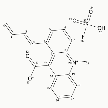 C=C/C=C/c1cccc2c1c(C(=O)[O-])c1ccccc1[n+]2C.O=S(=O)(O)F